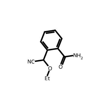 CCOC(C#N)c1ccccc1C(N)=O